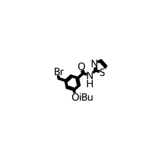 CC(C)COc1cc(CBr)cc(C(=O)Nc2nccs2)c1